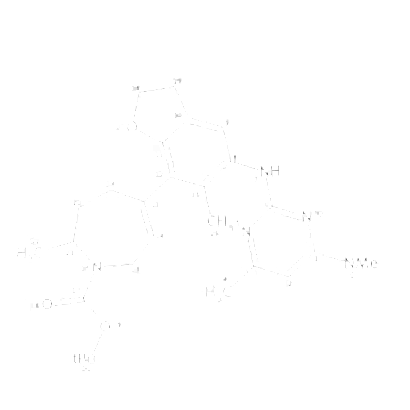 CNc1cc(C)nc(Nc2cc3c(c(C4=CCN(C(=O)OC(C)(C)C)C(C)CC4)c2C)OCC3)n1